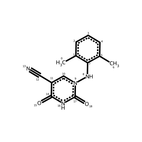 Cc1cccc(C)c1Nn1cc(C#N)c(=O)[nH]c1=O